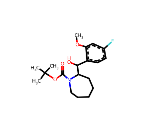 COc1cc(F)ccc1C(O)C1CCCCCN1C(=O)OC(C)(C)C